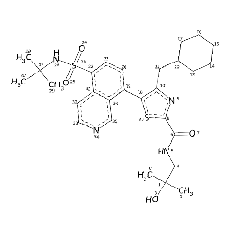 CC(C)(O)CNC(=O)c1nc(CC2CCCCC2)c(-c2ccc(S(=O)(=O)NC(C)(C)C)c3ccncc23)s1